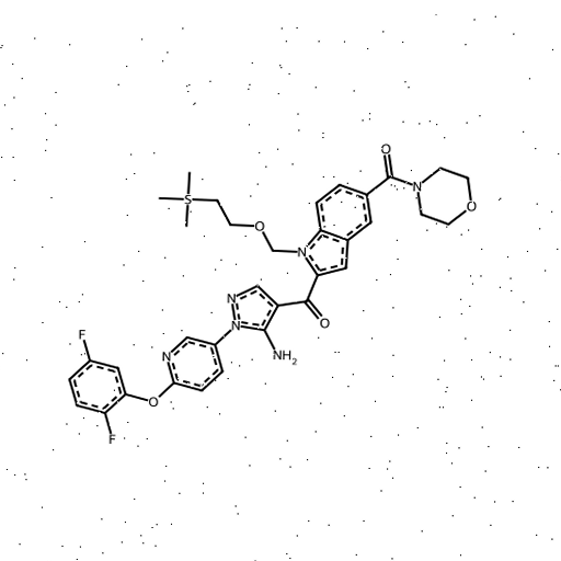 CS(C)(C)CCOCn1c(C(=O)c2cnn(-c3ccc(Oc4cc(F)ccc4F)nc3)c2N)cc2cc(C(=O)N3CCOCC3)ccc21